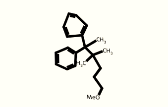 COCCCC(C)(C)C(C)(c1ccccc1)c1ccccc1